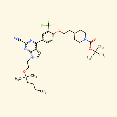 CCCC[Si](C)(C)OCCn1ccc2c(-c3ccc(OCCC4CCN(C(=O)OC(C)(C)C)CC4)c(C(F)(F)F)c3)nc(C#N)nc21